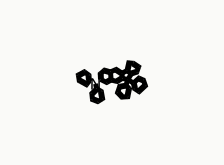 c1ccc(N(c2ccccc2)c2ccc3cc4c(cc3c2)C(c2ccccc2)(c2ccccc2)c2ccccc2-4)cc1